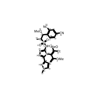 C=C(OC)/C(=C(\CC)OC)n1c(NS(=O)(=O)[C@@H](C)[C@H](OC)c2ccc(C#N)cc2C#N)nnc1-c1ccn(C)n1